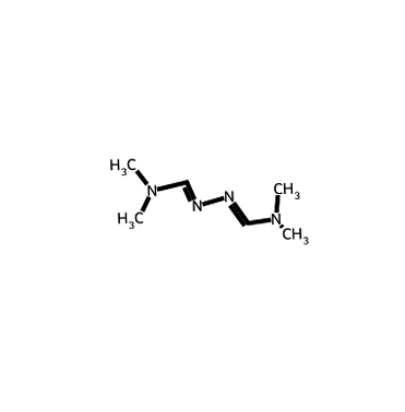 CN(C)C=N/N=C/N(C)C